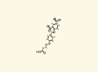 O=C(O)CCSSc1ccc(COc2ccc([N+](=O)[O-])cc2[N+](=O)[O-])cc1